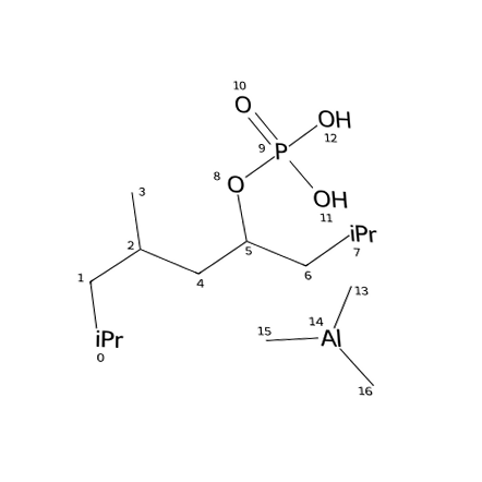 CC(C)CC(C)CC(CC(C)C)OP(=O)(O)O.[CH3][Al]([CH3])[CH3]